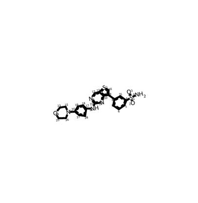 NS(=O)(=O)c1cccc(-c2csc3cnc(Nc4ccc(N5CCOCC5)cc4)nc23)c1